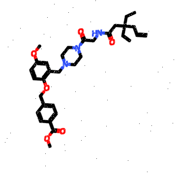 C=CCC(CC)(CC)CC(=O)NCC(=O)N1CCN(Cc2cc(OC)ccc2OCc2ccc(C(=O)OC)cc2)CC1